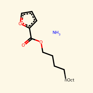 CCCCCCCCCCCCOC(=O)c1ccco1.N